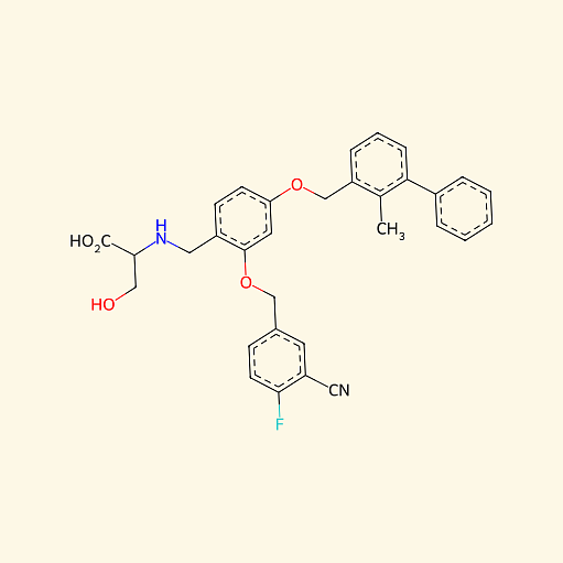 Cc1c(COc2ccc(CNC(CO)C(=O)O)c(OCc3ccc(F)c(C#N)c3)c2)cccc1-c1ccccc1